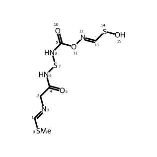 CSC=NCC(=O)NSNC(=O)ON=CSO